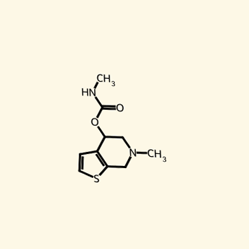 CNC(=O)OC1CN(C)Cc2sccc21